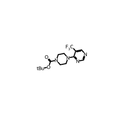 CC(C)(C)OC(=O)N1CCN(c2ncncc2C(F)(F)F)CC1